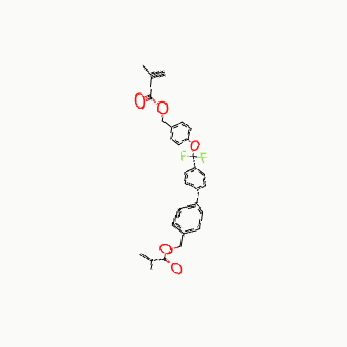 C=C(C)C(=O)OCc1ccc(OC(F)(F)c2ccc(-c3ccc(COC(=O)C(=C)C)cc3)cc2)cc1